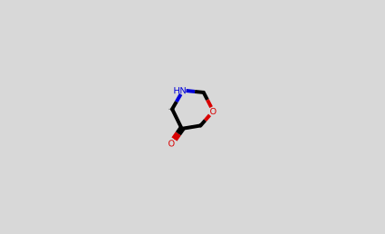 O=C1[CH]NCOC1